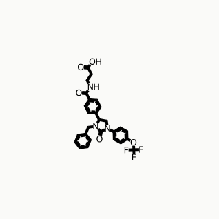 O=C(O)CCNC(=O)c1ccc(C2CN(c3ccc(OC(F)(F)F)cc3)C(=O)N2Cc2ccccc2)cc1